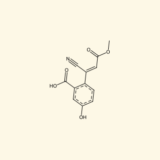 COC(=O)C=C(C#N)c1ccc(O)cc1C(=O)O